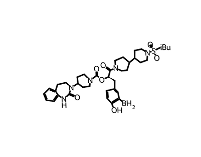 Bc1cc(C[C@@H](OC(=O)N2CCC(N3CCc4ccccc4NC3=O)CC2)C(=O)N2CCC(C3CCN(S(=O)(=O)C(C)CC)CC3)CC2)ccc1O